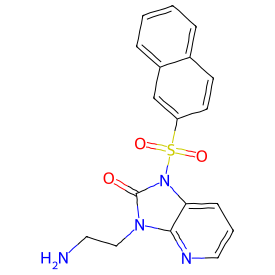 NCCn1c(=O)n(S(=O)(=O)c2ccc3ccccc3c2)c2cccnc21